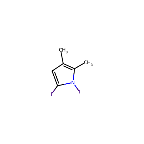 Cc1cc(I)n(I)c1C